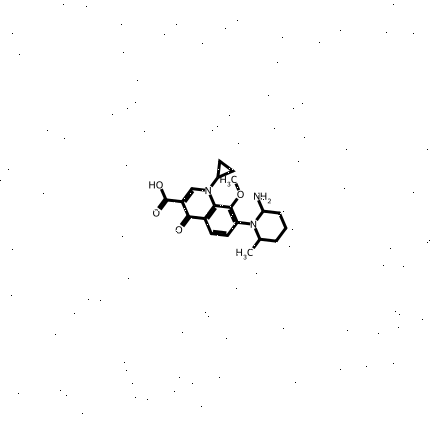 COc1c(N2C(C)CCCC2N)ccc2c(=O)c(C(=O)O)cn(C3CC3)c12